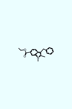 CCOC(=O)c1ccc2c(Cc3ccccc3)c(C)n(C)c2c1